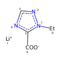 CCn1ncnc1C(=O)[O-].[Li+]